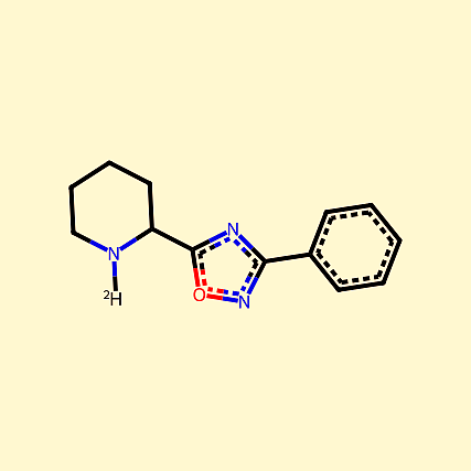 [2H]N1CCCCC1c1nc(-c2ccccc2)no1